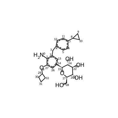 Nc1c(Cc2ccc(C3CC3)cc2)cc([C@@H]2O[C@H](CO)[C@@H](O)[C@H](O)[C@H]2O)cc1OC1CCC1